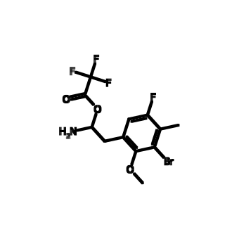 COc1c(CC(N)OC(=O)C(F)(F)F)cc(F)c(C)c1Br